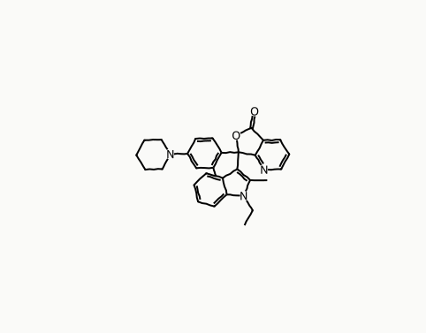 CCn1c(C)c(C2(c3ccc(N4CCCCC4)cc3C)OC(=O)c3cccnc32)c2ccccc21